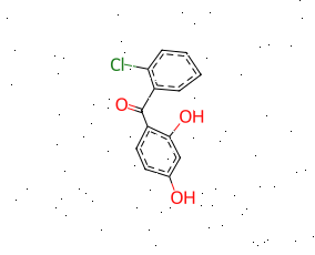 O=C(c1ccc(O)cc1O)c1ccccc1Cl